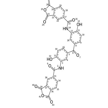 O=C(Nc1cc(C(=O)c2ccc(O)c(NC(=O)c3ccc4c(c3)C(=O)OC4=O)c2)ccc1O)c1ccc2c(c1)C(=O)OC2=O